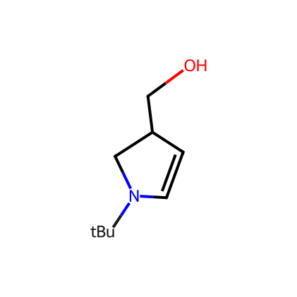 CC(C)(C)N1C=CC(CO)C1